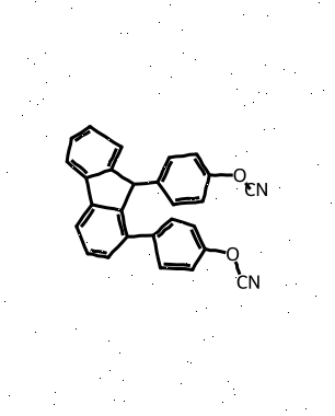 N#COc1ccc(-c2cccc3c2C(c2ccc(OC#N)cc2)c2ccccc2-3)cc1